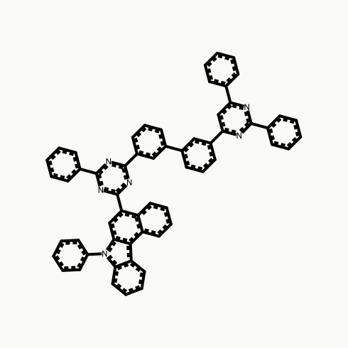 c1ccc(-c2cc(-c3cccc(-c4cccc(-c5nc(-c6ccccc6)nc(-c6cc7c(c8ccccc68)c6ccccc6n7-c6ccccc6)n5)c4)c3)nc(-c3ccccc3)n2)cc1